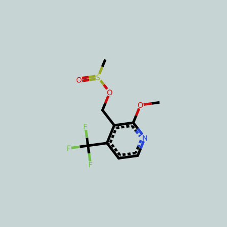 COc1nccc(C(F)(F)F)c1COS(C)=O